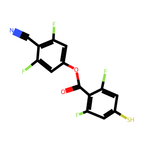 N#Cc1c(F)cc(OC(=O)c2c(F)cc(S)cc2F)cc1F